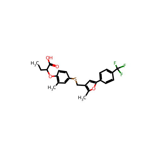 CCC(Oc1ccc(SCc2cc(-c3ccc(C(F)(F)F)cc3)oc2C)cc1C)C(=O)O